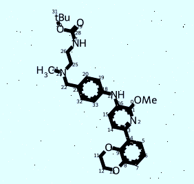 COc1nc(-c2cccc3c2OCCO3)ccc1Nc1ccc(CN(C)CCNC(=O)OC(C)(C)C)cc1